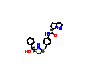 O=C(Nc1ccc(C[C@@H]2CC[C@H]([C@H](O)c3ccccc3)N2)cc1)[C@@H]1CCc2ccnn21